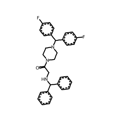 O=C(CNC(c1ccccc1)c1ccccc1)N1CCN(C(c2ccc(F)cc2)c2ccc(F)cc2)CC1